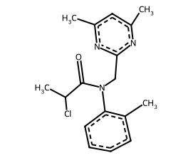 Cc1cc(C)nc(CN(C(=O)C(C)Cl)c2ccccc2C)n1